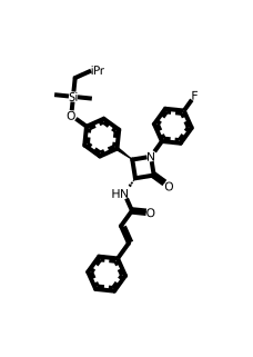 CC(C)C[Si](C)(C)Oc1ccc([C@@H]2[C@@H](NC(=O)/C=C/c3ccccc3)C(=O)N2c2ccc(F)cc2)cc1